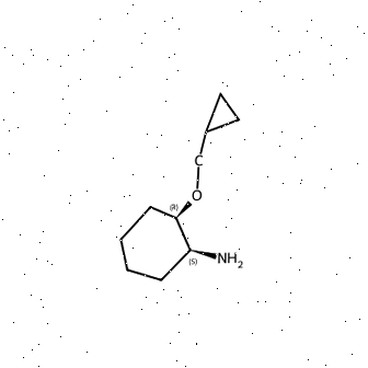 N[C@H]1CCCC[C@H]1OCC1CC1